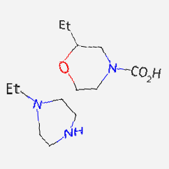 CCC1CN(C(=O)O)CCO1.CCN1CCNCC1